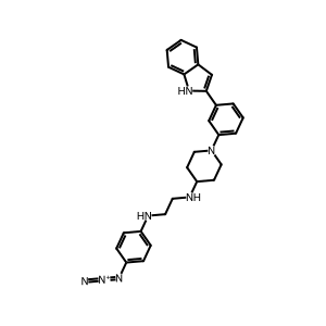 [N-]=[N+]=Nc1ccc(NCCNC2CCN(c3cccc(-c4cc5ccccc5[nH]4)c3)CC2)cc1